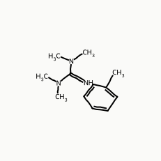 CN(C)C(=N)N(C)C.Cc1ccccc1